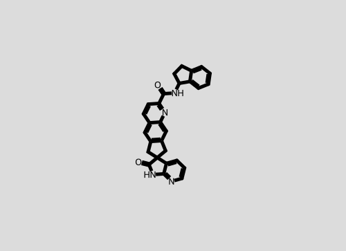 O=C(NC1CCc2ccccc21)c1ccc2cc3c(cc2n1)CC1(C3)C(=O)Nc2ncccc21